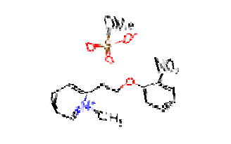 COS(=O)(=O)[O-].C[n+]1ccccc1CCOc1ccccc1[N+](=O)[O-]